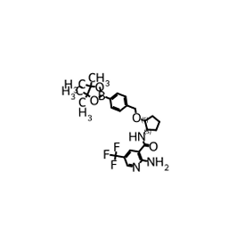 CC1(C)OB(c2ccc(CO[C@H]3CCC[C@@H]3NC(=O)c3cc(C(F)(F)F)cnc3N)cc2)OC1(C)C